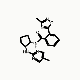 Cc1cnc(N[C@H]2CCC[C@@H]2NC(=O)c2ccccc2-c2nc(C)no2)nc1